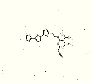 CC(C)N(C(C)C)P(OCCC#N)OCCc1ccc(-c2ccc(-c3cccs3)s2)s1